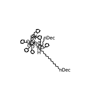 CCCCCCCCCCCCCCCCCCCCCCCCCCN[C@@H](CO[C@@H]1O[C@H](Cn2cc(Cc3ccccc3)nn2)[C@H](OCc2ccccc2)[C@H](OCc2ccccc2)[C@H]1OCc1ccccc1)[C@H](OCc1ccccc1)[C@@H](CCCCCCCCCCCCCC)OCc1ccccc1